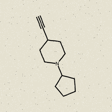 C#CC1CCN(C2CCCC2)CC1